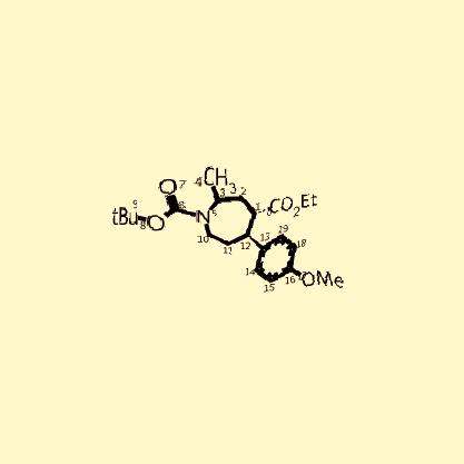 CCOC(=O)[C@H]1CC(C)N(C(=O)OC(C)(C)C)CC[C@@H]1c1ccc(OC)cc1